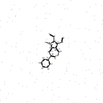 C=Cc1c(C=C)n(C)c(=C/C(=C)c2ccccc2)/c1=C\C